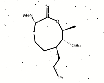 CN[C@H]1CCC[C@H](CCC(C)C)[C@@H](OCC(C)C)[C@H](C)OC1=O